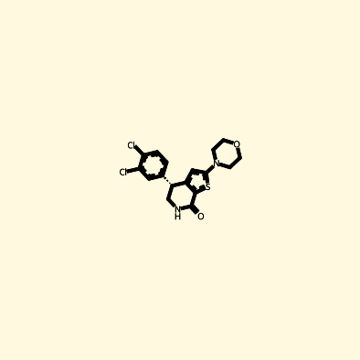 O=C1NC[C@H](c2ccc(Cl)c(Cl)c2)c2cc(N3CCOCC3)sc21